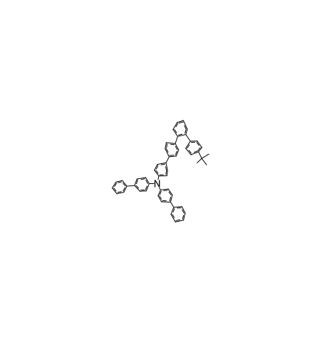 CC(C)(C)c1ccc(-c2ccccc2-c2ccc(-c3ccc(N(c4ccc(-c5ccccc5)cc4)c4ccc(-c5ccccc5)cc4)cc3)cc2)cc1